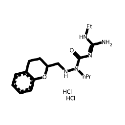 CCCN(NCC1CCc2ccccc2O1)C(=O)N=C(N)NCC.Cl.Cl